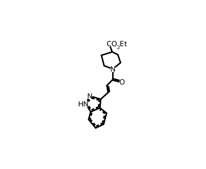 CCOC(=O)C1CCN(C(=O)C=Cc2n[nH]c3ccccc23)CC1